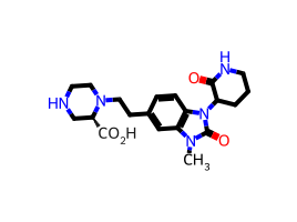 Cn1c(=O)n(C2CCCNC2=O)c2ccc(CCN3CCNC[C@@H]3C(=O)O)cc21